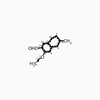 C=COc1cc2cc(C)ccc2cc1C=O